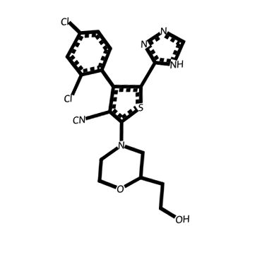 [C-]#[N+]c1c(N2CCOC(CCO)C2)sc(-c2nnc[nH]2)c1-c1ccc(Cl)cc1Cl